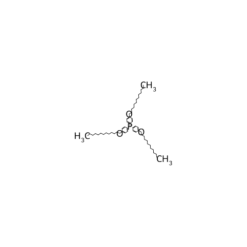 CCCCCCCCCCCCOc1ccc(P(c2ccc(OCCCCCCCCCCCC)cc2)c2ccc(OCCCCCCCCCCCC)cc2)cc1